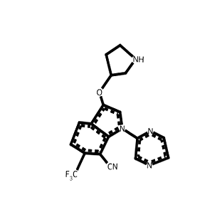 N#Cc1c(C(F)(F)F)ccc2c(OC3CCNC3)cn(-c3cnccn3)c12